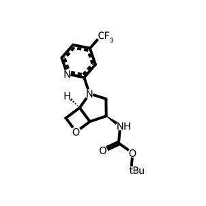 CC(C)(C)OC(=O)N[C@@H]1CN(c2cc(C(F)(F)F)ccn2)[C@@H]2COC21